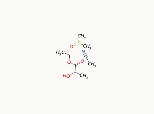 CC#N.CCOC(=O)C(C)O.C[S+](C)[O-]